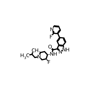 CC(C)CN1CC[C@H](NC(=O)c2n[nH]c3ccc(-c4cccnc4F)cc23)[C@@H](F)C1